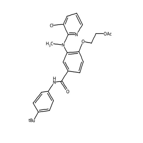 CC(=O)OCCOc1ccc(C(=O)Nc2ccc(C(C)(C)C)cc2)cc1N(C)c1ncccc1Cl